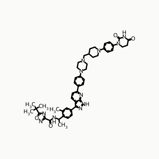 Cc1cc(-c2n[nH]c3nc(-c4ccc(N5CCN(CC6CCN(c7ccc(N8CCC(=O)NC8=O)cc7)CC6)CC5)cc4)ccc23)ccc1C(C)NC(=O)c1noc(C(C)(C)C)n1